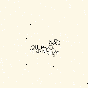 Cc1nc(N2CC[C@H](C(=O)O)C2)ncc1-n1c2ccc(F)cc2c2c1cnn2C1CCCCO1